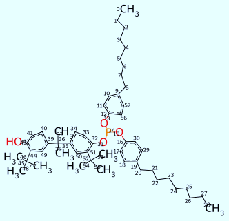 CCCCCCCCCc1ccc(OP(Oc2ccc(CCCCCCCCC)cc2)Oc2ccc(C(C)(C)c3ccc(O)c(C(C)(C)C)c3)cc2C(C)(C)C)cc1